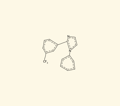 FC(F)(F)c1cccc(-c2nccn2-c2ccccc2)c1